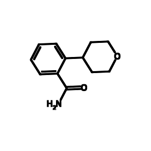 NC(=O)c1ccccc1C1CCOCC1